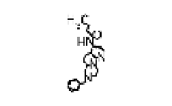 CCCC(=O)Nc1ccnc2c1CCC1CN(Cc3ccccc3)CCN21